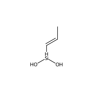 CC=C[SiH](O)O